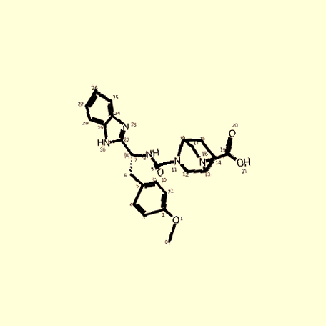 COc1ccc(C[C@@H](NC(=O)N2CC3CCC2CN3C(=O)O)c2nc3ccccc3[nH]2)cc1